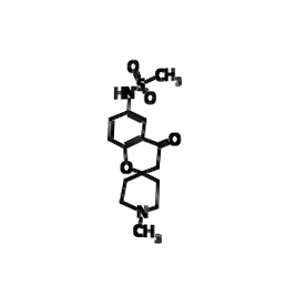 CN1CCC2(CC1)CC(=O)c1cc(NS(C)(=O)=O)ccc1O2